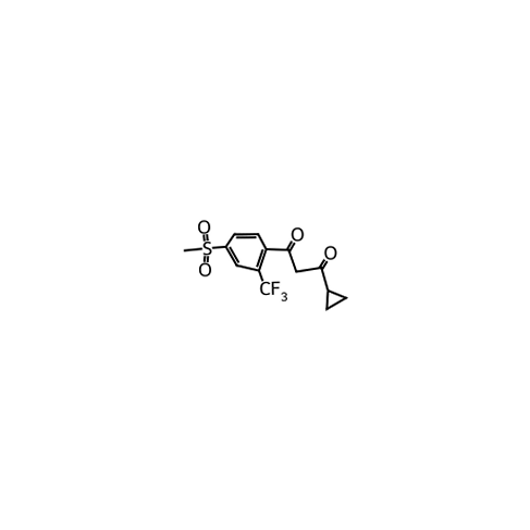 CS(=O)(=O)c1ccc(C(=O)CC(=O)C2CC2)c(C(F)(F)F)c1